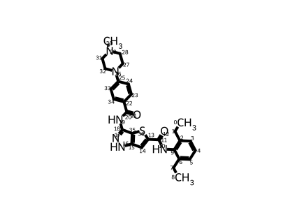 CCc1cccc(CC)c1NC(=O)c1cc2[nH]nc(NC(=O)c3ccc(N4CCN(C)CC4)cc3)c2s1